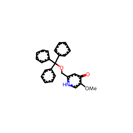 COc1c[nH]c(COC(c2ccccc2)(c2ccccc2)c2ccccc2)cc1=O